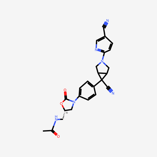 CC(=O)NC[C@H]1CN(c2ccc(C3(C#N)C4CN(c5ccc(C#N)cn5)CC43)cc2)C(=O)O1